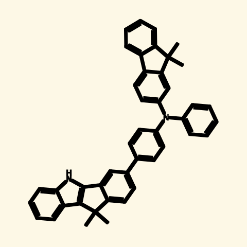 CC1(C)c2ccccc2-c2ccc(N(c3ccccc3)c3ccc(-c4ccc5c(c4)-c4[nH]c6ccccc6c4C5(C)C)cc3)cc21